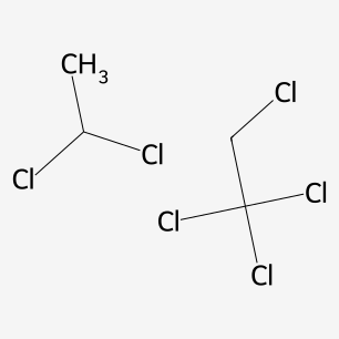 CC(Cl)Cl.ClCC(Cl)(Cl)Cl